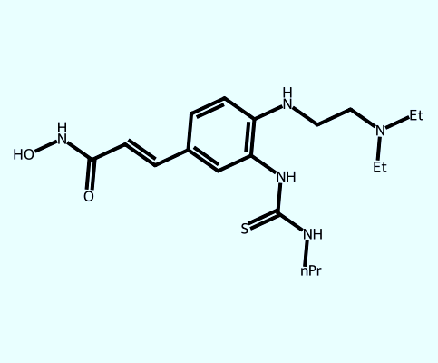 CCCNC(=S)Nc1cc(/C=C/C(=O)NO)ccc1NCCN(CC)CC